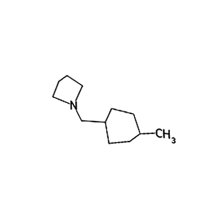 CC1CCC(CN2CCCC2)CC1